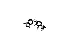 Cc1c(Oc2ccc3c(c2)ncn3C)ccc([N+](=O)[O-])c1F